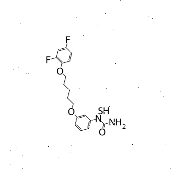 NC(=O)N(S)c1cccc(OCCCCCOc2ccc(F)cc2F)c1